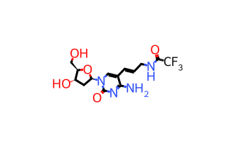 Nc1nc(=O)n([C@H]2C[C@H](O)[C@@H](CO)O2)cc1/C=C/CNC(=O)C(F)(F)F